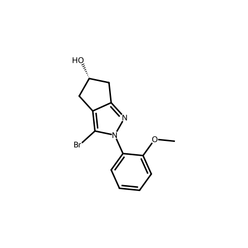 COc1ccccc1-n1nc2c(c1Br)C[C@H](O)C2